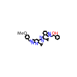 COc1ccc(Cn2cc3cc(-c4nc(-c5cccc6nn(C[C@H](O)c7ccccc7)cc56)c(C5CC5)n4C)c(C4CC4)nc3n2)cc1